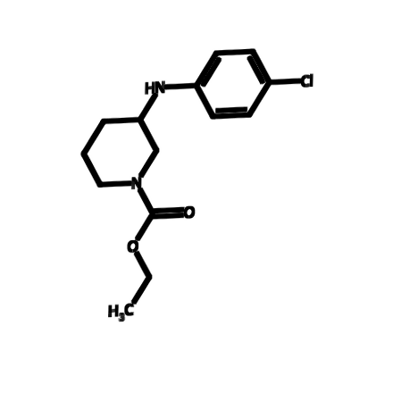 CCOC(=O)N1CCCC(Nc2ccc(Cl)cc2)C1